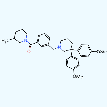 COc1ccc(C2(c3ccc(OC)cc3)CCCN(Cc3cccc(C(=O)N4CCCC(C)C4)c3)C2)cc1